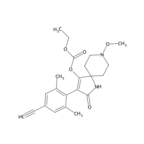 C#Cc1cc(C)c(C2=C(OC(=O)OCC)C3(CCN(OC)CC3)NC2=O)c(C)c1